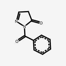 O=C1CC=NN1C(=O)c1ccccc1